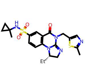 CC[C@H]1CN=C2N(Cc3cnc(C)s3)C(=O)c3cc(S(=O)(=O)NC4(C)CC4)ccc3N21